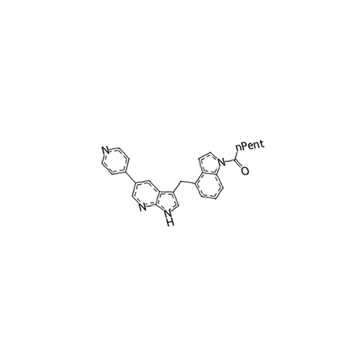 CCCCCC(=O)n1ccc2c(Cc3c[nH]c4ncc(-c5ccncc5)cc34)cccc21